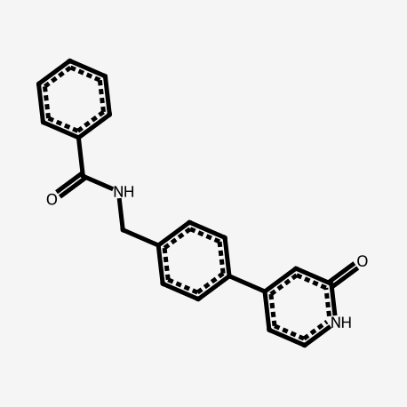 O=C(NCc1ccc(-c2cc[nH]c(=O)c2)cc1)c1ccccc1